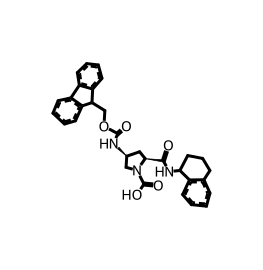 O=C(N[C@H]1C[C@@H](C(=O)NC2CCCc3ccccc32)N(C(=O)O)C1)OCC1c2ccccc2-c2ccccc21